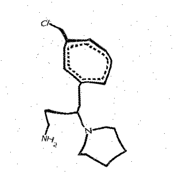 NCC(c1cccc(Cl)c1)N1CCCC1